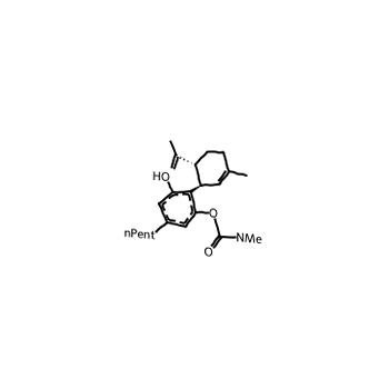 C=C(C)[C@@H]1CCC(C)=C[C@H]1c1c(O)cc(CCCCC)cc1OC(=O)NC